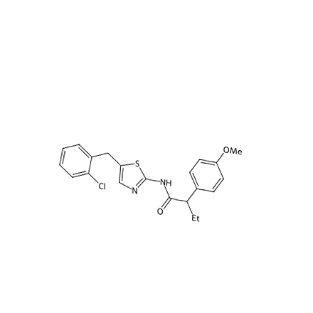 CCC(C(=O)Nc1ncc(Cc2ccccc2Cl)s1)c1ccc(OC)cc1